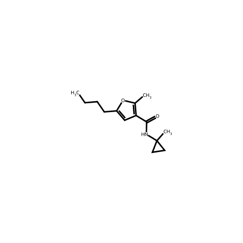 CCCCc1cc(C(=O)NC2(C)CC2)c(C)o1